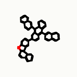 c1ccc2cc(-c3c4ccccc4c(-c4ccc5ccccc5c4)c4cc(-c5ccc6oc7ccc8ccccc8c7c6c5)ccc34)ccc2c1